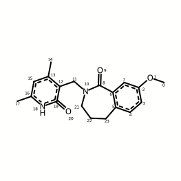 COc1ccc2c(c1)C(=O)N(Cc1c(C)cc(C)[nH]c1=O)CCC2